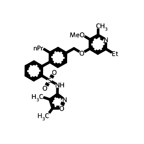 CCCc1cc(COc2cc(CC)nc(C)c2OC)ccc1-c1ccccc1S(=O)(=O)Nc1noc(C)c1C